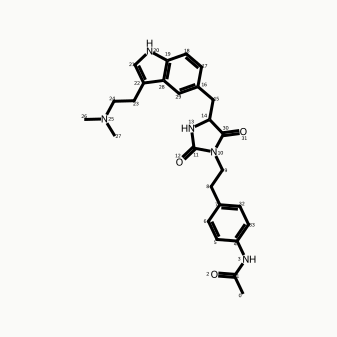 CC(=O)Nc1ccc(CCN2C(=O)NC(Cc3ccc4[nH]cc(CCN(C)C)c4c3)C2=O)cc1